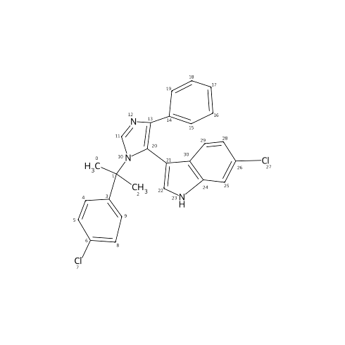 CC(C)(c1ccc(Cl)cc1)n1cnc(-c2ccccc2)c1-c1c[nH]c2cc(Cl)ccc12